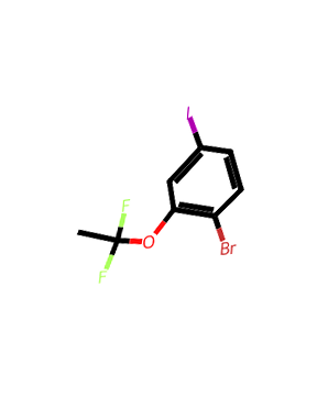 CC(F)(F)Oc1cc(I)ccc1Br